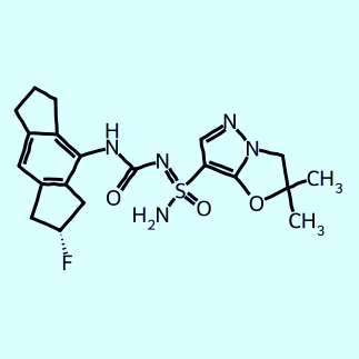 CC1(C)Cn2ncc(S(N)(=O)=NC(=O)Nc3c4c(cc5c3C[C@H](F)C5)CCC4)c2O1